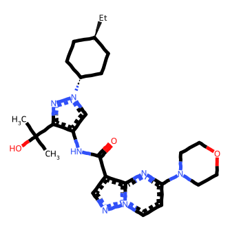 CC[C@H]1CC[C@H](n2cc(NC(=O)c3cnn4ccc(N5CCOCC5)nc34)c(C(C)(C)O)n2)CC1